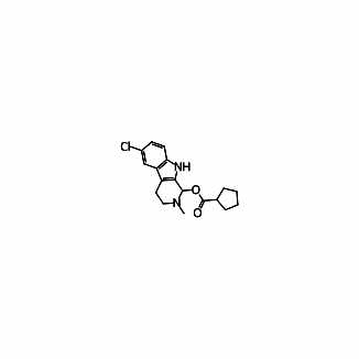 CN1CCc2c([nH]c3ccc(Cl)cc23)C1OC(=O)C1CCCC1